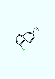 O=[N+]([O-])c1ccc2c(Cl)cccc2c1